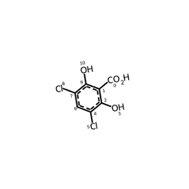 O=C(O)c1c(O)c(Cl)cc(Cl)c1O